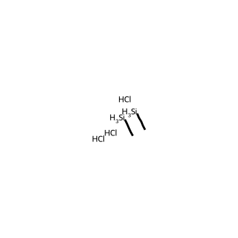 C[SiH3].C[SiH3].Cl.Cl.Cl